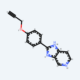 C#CCOc1ccc(-c2nc3cnccc3[nH]2)cc1